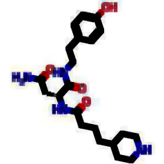 NC(=O)C[C@@H](NC(=O)CCCC1CCNCC1)C(=O)NCCc1ccc(O)cc1